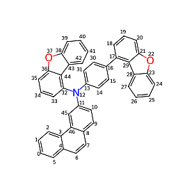 c1ccc2c(c1)ccc1ccc(N(c3ccc(-c4cccc5oc6ccccc6c45)cc3)c3cccc4oc5ccccc5c34)cc12